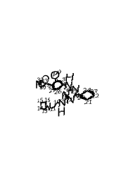 COc1cc(Nc2nc(NCCN3CCCC3)nc(-c3ccccc3)n2)ccc1-c1cnco1